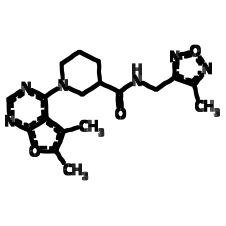 Cc1nonc1CNC(=O)C1CCCN(c2ncnc3oc(C)c(C)c23)C1